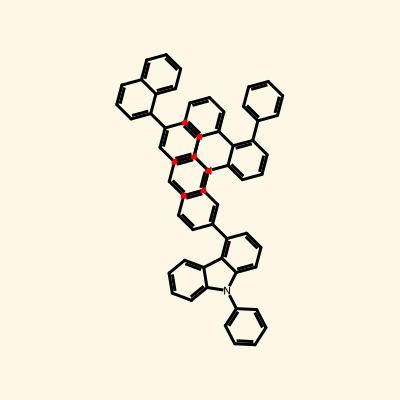 c1ccc(-c2ccccc2-c2c(-c3ccccc3)cccc2N(c2ccc(-c3cccc4ccccc34)cc2)c2cccc(-c3cccc4c3c3ccccc3n4-c3ccccc3)c2)cc1